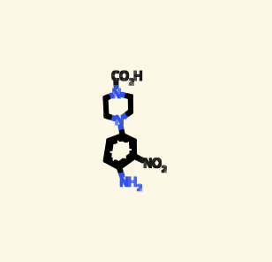 Nc1ccc(N2CCN(C(=O)O)CC2)cc1[N+](=O)[O-]